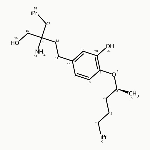 CC(C)CCC[C@H](C)Oc1ccc(CCC(N)(CO)CC(C)C)cc1O